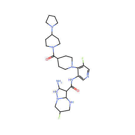 NC1NN2CC(F)CNC2C1C(=O)Nc1cncc(F)c1N1CCC(C(=O)N2CCC(N3CCCC3)CC2)CC1